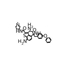 CN1CCC(NC(=O)c2sc3c(N)ccc4c3c2C(N)C(=O)C4(N)Cc2ccc(Oc3ccccc3)cc2)C1